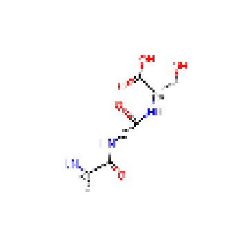 C[C@H](N)C(=O)NCC(=O)N[C@@H](CO)C(=O)O